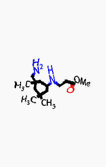 COC(=O)CCNC1CC(C)(C)CC(C)(CN)C1